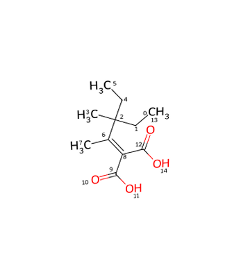 CCC(C)(CC)C(C)=C(C(=O)O)C(=O)O